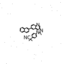 Cc1nc2cnc3ccc(-c4ccc5ccccc5c4)cc3c2n1-c1ccc(C(C)(C)C#N)cc1